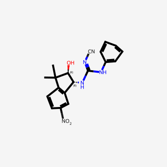 CC1(C)c2ccc([N+](=O)[O-])cc2[C@@H](NC(=NC#N)Nc2ccccc2)[C@@H]1O